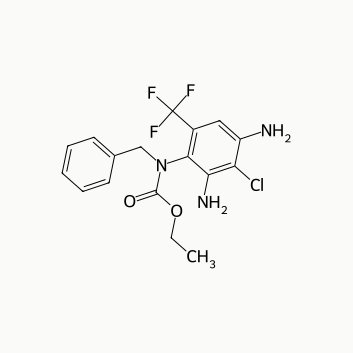 CCOC(=O)N(Cc1ccccc1)c1c(C(F)(F)F)cc(N)c(Cl)c1N